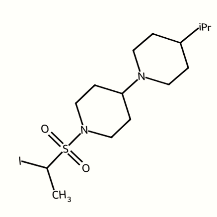 CC(C)C1CCN(C2CCN(S(=O)(=O)C(C)I)CC2)CC1